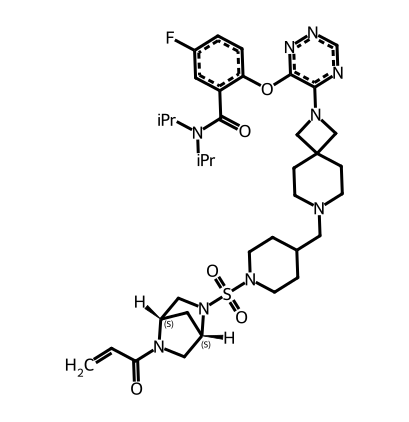 C=CC(=O)N1C[C@@H]2C[C@H]1CN2S(=O)(=O)N1CCC(CN2CCC3(CC2)CN(c2ncnnc2Oc2ccc(F)cc2C(=O)N(C(C)C)C(C)C)C3)CC1